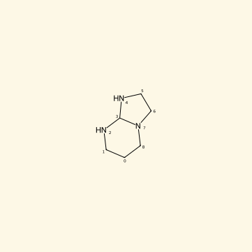 C1CNC2NCCN2C1